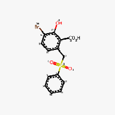 O=C(O)c1c(CS(=O)(=O)c2ccccc2)ccc(Br)c1O